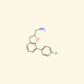 NCC1Cc2cccc(-c3ccc(F)cc3)c2O1